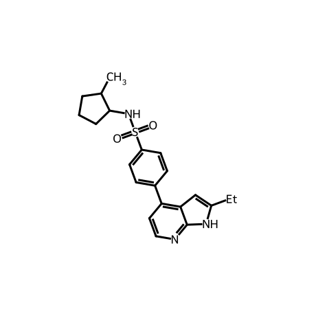 CCc1cc2c(-c3ccc(S(=O)(=O)NC4CCCC4C)cc3)ccnc2[nH]1